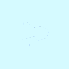 Cl.NC1CCCCC1O.[Fe]